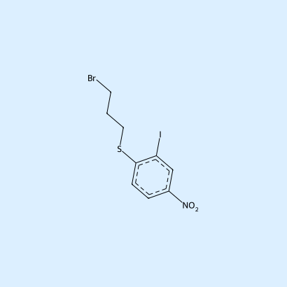 O=[N+]([O-])c1ccc(SCCCBr)c(I)c1